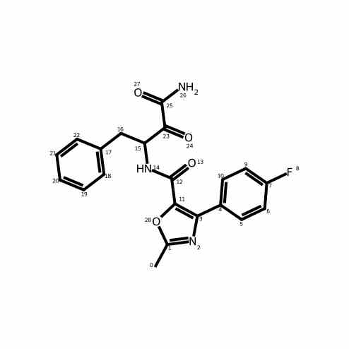 Cc1nc(-c2ccc(F)cc2)c(C(=O)NC(Cc2ccccc2)C(=O)C(N)=O)o1